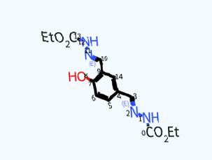 CCOC(=O)N/N=C/c1ccc(O)c(/C=N/NC(=O)OCC)c1